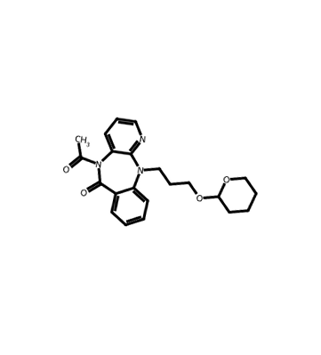 CC(=O)N1C(=O)c2ccccc2N(CCCOC2CCCCO2)c2ncccc21